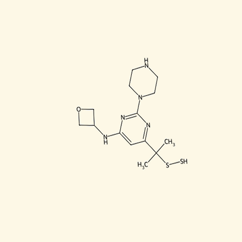 CC(C)(SS)c1cc(NC2COC2)nc(N2CCNCC2)n1